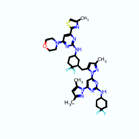 Cc1csc(-c2cc(N3CCOCC3)nc(NC3CCC(F)(F)C(Cc4cc(C)nn4-c4cc(-n5nc(C)cc5C)nc(NC5CCC(F)(F)CC5)n4)C3)n2)n1